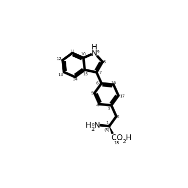 N[C@@H](Cc1ccc(-c2c[nH]c3ccccc23)cc1)C(=O)O